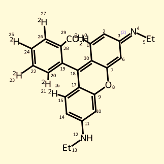 [2H]c1c/c(=N/CC)cc2oc3cc(NCC)cc([2H])c3c(-c3c([2H])c([2H])c([2H])c([2H])c3C(=O)O)c1-2